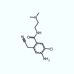 CN(C)CCNC(=O)c1cc(Cl)c(N)cc1CC#N